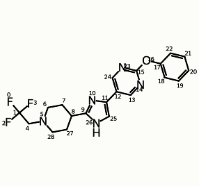 FC(F)(F)CN1CCC(c2nc(-c3cnc(Oc4ccccc4)nc3)c[nH]2)CC1